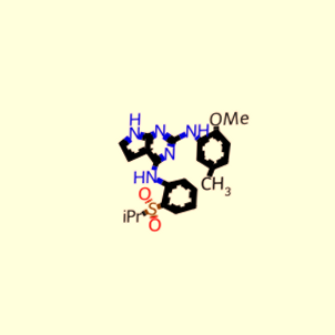 COc1ccc(C)cc1Nc1nc(Nc2ccccc2S(=O)(=O)C(C)C)c2cc[nH]c2n1